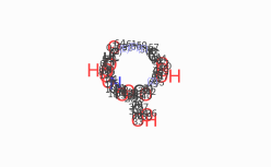 CO[C@H]1C[C@@H]2CC[C@@H](C)[C@@](O)(O2)C(=O)C(=O)N2CCCC[C@H]2C(=O)O[C@H]([C@H](C)C[C@H]2CC[C@@H](O)[C@H](OC)C2)CC(=O)[C@@H](C)/C=C(/C)[C@@H](O)[C@@H](OC)C(=O)[C@H](C)C[C@H](C)/C=C/C=C/C=C/1C